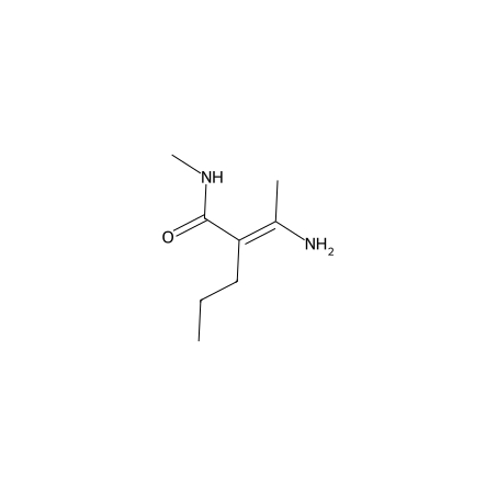 CCCC(C(=O)NC)=C(C)N